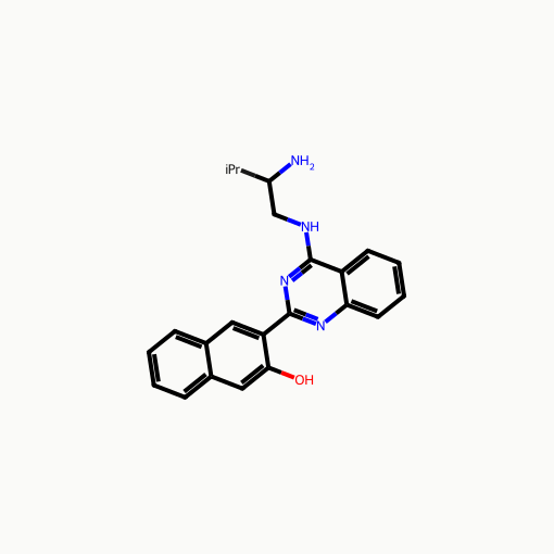 CC(C)C(N)CNc1nc(-c2cc3ccccc3cc2O)nc2ccccc12